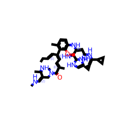 CC/C=C/C(=C\C=C(/C)C(=O)N(C)C/C(=C/NC)C(C)=N)c1c(C)ccc(N/C(=C/C(=N)NC(=C2CC2)C2CC2)C(=N)C2NC=CN2)c1OC